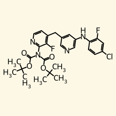 CC(C)(C)OC(=O)N(C(=O)OC(C)(C)C)c1nccc(Cc2cncc(Nc3ccc(Cl)cc3F)c2)c1F